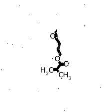 C=C(C)C(=O)OCCCC1CO1